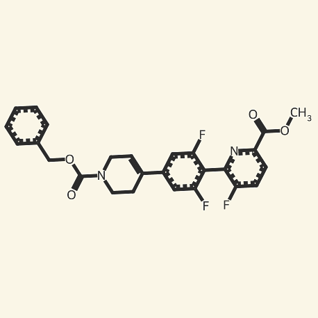 COC(=O)c1ccc(F)c(-c2c(F)cc(C3=CCN(C(=O)OCc4ccccc4)CC3)cc2F)n1